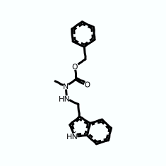 CN(NCc1c[nH]c2ccccc12)C(=O)OCc1ccccc1